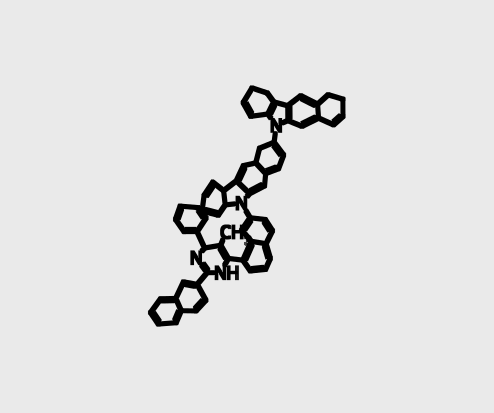 CC1=C(c2cccc3ccc(N4C5=CC6=CC=C(n7c8c(c9cc%10c(cc97)C=CCC%10)CCC=C8)CC6C=C5C5C=CC=CC54)cc23)NC(c2ccc3ccccc3c2)=NC1c1ccccc1